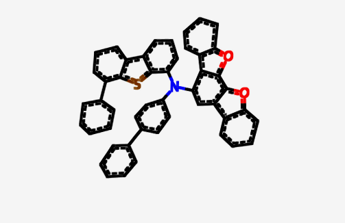 c1ccc(-c2ccc(N(c3cccc4c3sc3c(-c5ccccc5)cccc34)c3cc4c5ccccc5oc4c4oc5ccccc5c34)cc2)cc1